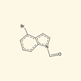 O=Cn1ccc2c(Br)cccc21